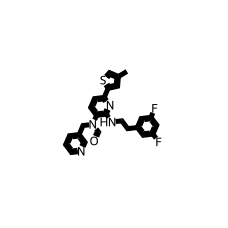 Cc1csc(-c2ccc(N(C=O)Cc3cccnc3)c(NCCc3cc(F)cc(F)c3)n2)c1